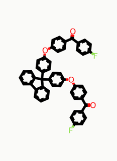 O=C(c1ccc(F)cc1)c1ccc(Oc2ccc(C3(c4ccc(Oc5ccc(C(=O)c6ccc(F)cc6)cc5)cc4)c4ccccc4-c4ccccc43)cc2)cc1